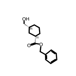 O=C(OCc1ccccc1)[C@H]1CCC[C@@H](CO)C1